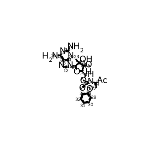 CC(=O)[C@H](C)NP(=O)(OC[C@H]1O[C@@H](n2cnc3c(N)nc(N)nc32)C(C)(O)[C@H]1O)Oc1ccccc1